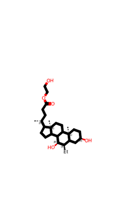 CC[C@@H]1C2C[C@H](O)CC[C@]2(C)C2CC[C@@]3(C)C(CCC3[C@H](C)CCC(=O)OCCO)C2[C@@H]1O